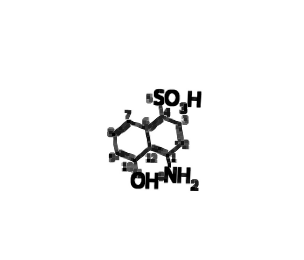 Nc1[c]cc(S(=O)(=O)O)c2cc[c]c(O)c12